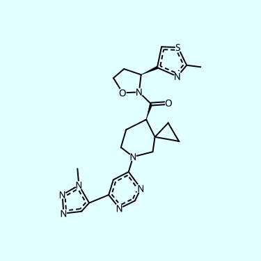 Cc1nc([C@@H]2CCON2C(=O)[C@@H]2CCN(c3cc(-c4cnnn4C)ncn3)CC23CC3)cs1